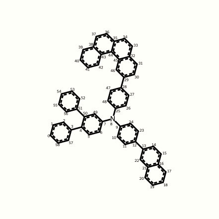 c1ccc(-c2ccc(N(c3ccc(-c4ccc5ccccc5c4)cc3)c3ccc(-c4ccc5ccc6ccc7ccccc7c6c5c4)cc3)cc2-c2ccccc2)cc1